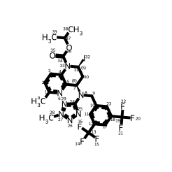 Cc1ccc2c(n1)[C@H](N(Cc1cc(C(F)(F)F)cc(C(F)(F)F)c1)c1nnn(C)n1)C[C@H](I)N2C(=O)OC(C)C